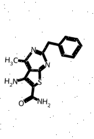 Cc1nc(Cc2ccccc2)nc2sc(C(N)=O)c(N)c12